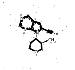 C[C@H]1COCC[C@@H]1n1c(C#N)cc2cncnc21